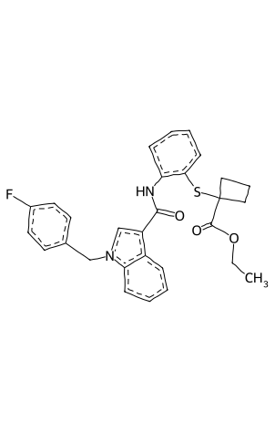 CCOC(=O)C1(Sc2ccccc2NC(=O)c2cn(Cc3ccc(F)cc3)c3ccccc23)CCC1